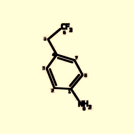 Nc1ccc(CC(F)(F)F)cc1